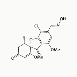 COC1=CC(=O)C[C@@H](C)[C@]12Oc1c(Cl)c(/C=N/O)cc(OC)c1C2=O